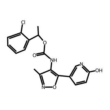 Cc1noc(-c2ccc(O)nc2)c1NC(=O)OC(C)c1ccccc1Cl